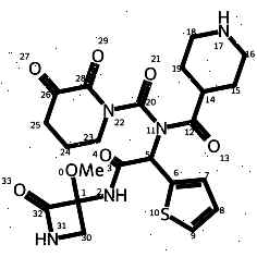 COC1(NC(=O)C(c2cccs2)N(C(=O)C2CCNCC2)C(=O)N2CCCC(=O)C2=O)CNC1=O